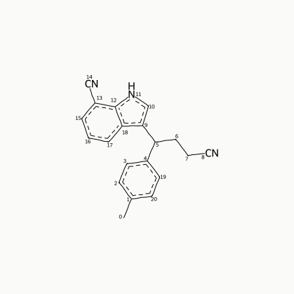 Cc1ccc(C(CCC#N)c2c[nH]c3c(C#N)cccc23)cc1